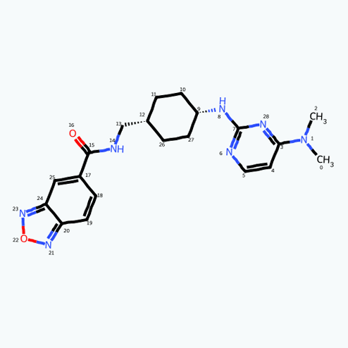 CN(C)c1ccnc(N[C@H]2CC[C@@H](CNC(=O)c3ccc4nonc4c3)CC2)n1